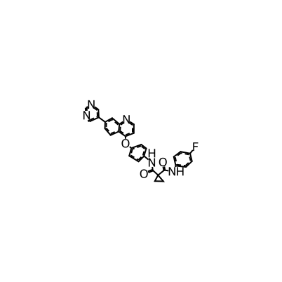 O=C(Nc1ccc(F)cc1)C1(C(=O)Nc2ccc(Oc3ccnc4cc(-c5cncnc5)ccc34)cc2)CC1